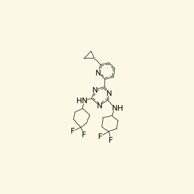 FC1(F)CCC(Nc2nc(NC3CCC(F)(F)CC3)nc(-c3cccc(C4CC4)n3)n2)CC1